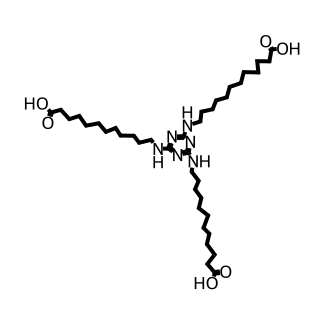 O=C(O)CCCCCCCCCCCNc1nc(NCCCCCCCCCCCC(=O)O)nc(NCCCCCCCCCCCC(=O)O)n1